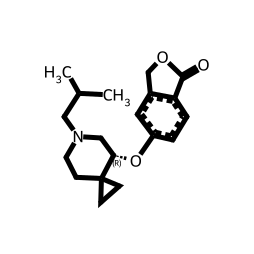 CC(C)CN1CCC2(CC2)[C@@H](Oc2ccc3c(c2)COC3=O)C1